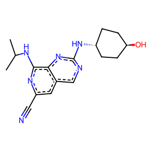 CC(C)Nc1nc(C#N)cc2cnc(N[C@H]3CC[C@H](O)CC3)nc12